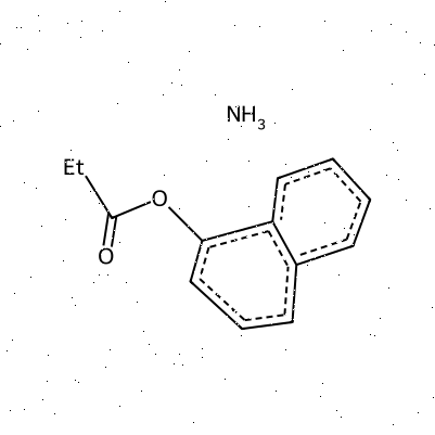 CCC(=O)Oc1cccc2ccccc12.N